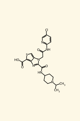 CC(C)N1CCC(NC(=O)c2nc3c(C(=O)O)scc3n2CC(=O)Nc2ccc(Cl)cn2)CC1